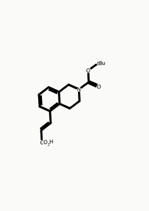 CC(C)(C)OC(=O)N1CCc2c(C=CC(=O)O)cccc2C1